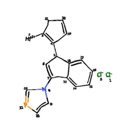 [Cl-].[Cl-].[Hf+2][C]1=C(C2C=C(n3ccpc3)c3ccccc32)C=CC1